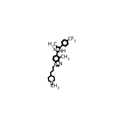 Cc1nc(-c2ccc3c(ncn3CCCC3CCN(C)CC3)c2C)[nH]c1-c1ccc(C(F)(F)F)cc1